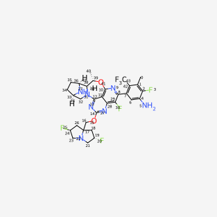 Cc1c(F)c(N)cc(-c2nc3c4c(nc(OCC56C[C@H](F)CN5C[C@@H](F)C6)nc4c2F)N2C[C@H]4CC[C@H](N4)[C@H]2[C@H](C)O3)c1C(F)(F)F